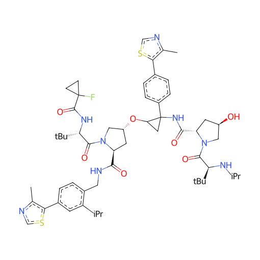 Cc1ncsc1-c1ccc(C2(NC(=O)[C@@H]3C[C@@H](O)CN3C(=O)[C@@H](NC(C)C)C(C)(C)C)CC2O[C@@H]2C[C@@H](C(=O)NCc3ccc(-c4scnc4C)cc3C(C)C)N(C(=O)[C@@H](NC(=O)C3(F)CC3)C(C)(C)C)C2)cc1